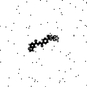 CC(C)(C)OC(=O)N1CCN(C(=O)/C=C/C(=O)c2ccc3c(c2)CCO3)CC1